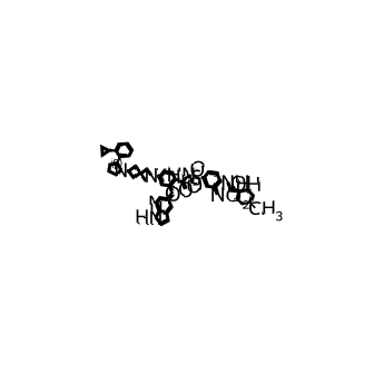 C[C@H]1CC[C@@](O)(CNc2ccc(S(=O)(=O)NC(=O)c3ccc(N4CC5(CC(N6CCC[C@H]6c6ccccc6C6CC6)C5)C4)cc3Oc3cnc4[nH]ccc4c3)cc2[N+](=O)[O-])CC1